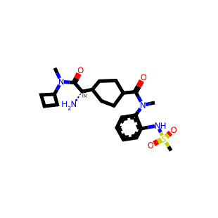 CN(C(=O)C1CCC([C@H](N)C(=O)N(C)C2CCC2)CC1)c1ccccc1NS(C)(=O)=O